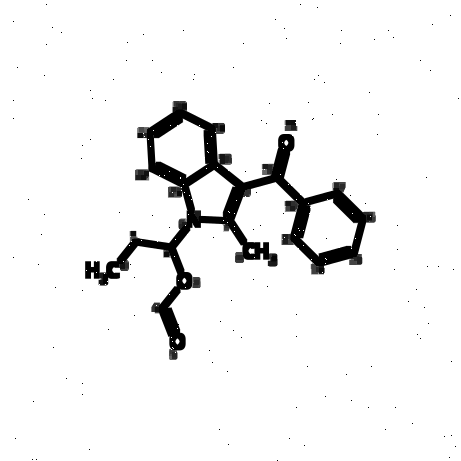 CCC(OC=O)n1c(C)c(C(=O)c2ccccc2)c2ccccc21